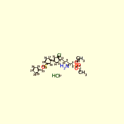 CCOP(=O)(CCC(N)CCCc1ccc(-c2cccc(SOCc3ccccc3)c2)cc1Cl)OCC.Cl